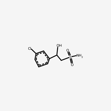 NS(=O)(=O)CC(O)c1cccc(Cl)c1